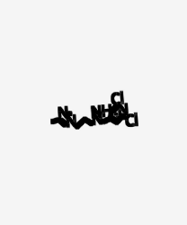 Cc1cn(CCCN(N)Cc2cc(Cl)nc(Cl)c2)cn1